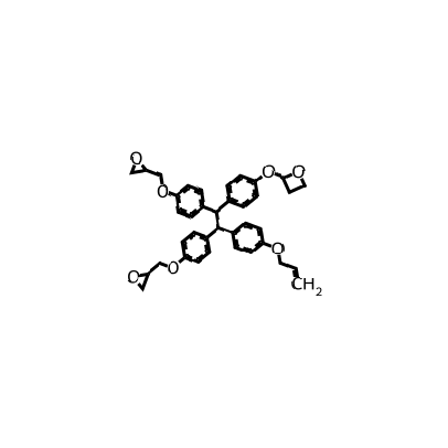 C=CCOc1ccc(C(c2ccc(OCC3CO3)cc2)C(c2ccc(OCC3CO3)cc2)c2ccc(OC3CCO3)cc2)cc1